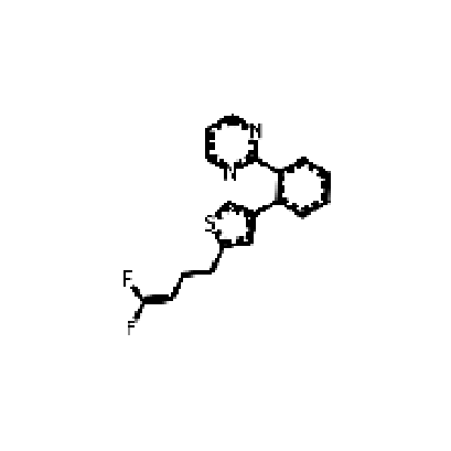 FC(F)=CCCc1cc(-c2ccccc2-c2ncccn2)cs1